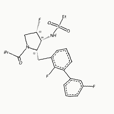 CCS(=O)(=O)N[C@H]1[C@@H](F)CN(C(=O)C(C)C)[C@H]1Cc1cccc(-c2cccc(F)c2)c1F